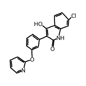 O=c1[nH]c2cc(Cl)ccc2c(O)c1-c1cccc(Oc2ccccn2)c1